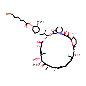 CO[C@@H]1C[C@H](C[C@@H](C)[C@@H]2CC(=O)[C@H](C)/C=C(\C)[C@@H](O)[C@@H](OC)C(=O)[C@H](C)C[C@H](C)/C=C/C=C/C=C(\C)[C@@H](O)C[C@@H]3CC[C@@H](C)[C@@](O)(O3)C(=O)C(=O)N3CCCC[C@H]3C(=O)O2)CC[C@H]1OC(=O)CCCCCBr